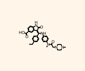 CCc1ccc(/C(Nc2ccc(N(C)C(=O)CN3CCN(C)CC3)cc2)=C2/C(=O)Nc3ccc(C(=O)O)cc32)cc1